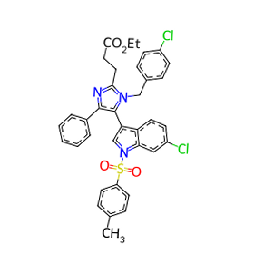 CCOC(=O)CCc1nc(-c2ccccc2)c(-c2cn(S(=O)(=O)c3ccc(C)cc3)c3cc(Cl)ccc23)n1Cc1ccc(Cl)cc1